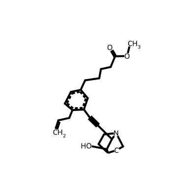 C=CCc1ccc(CCCCC(=O)OC)cc1C#CC1C(O)C2CCN1CC2